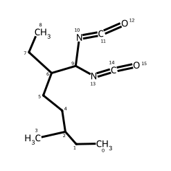 CCC(C)CCC(CC)C(N=C=O)N=C=O